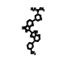 Cc1cccc(-c2ccnc3[nH]c(-c4n[nH]c5ccc(-c6cncc(N(C)C)c6)nc45)nc23)c1